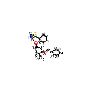 O=[N+]([O-])c1ccc(Oc2ccccc2-c2cncs2)cc1OCc1ccccc1